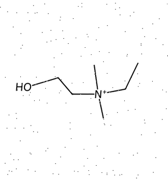 CC[N+](C)(C)CCO